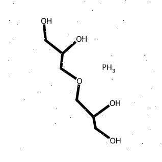 OCC(O)COCC(O)CO.P